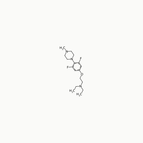 CCN(CC)CCOc1cc(F)c(N2CCN(C)CC2)c(F)c1